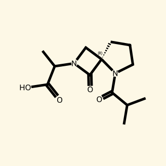 CC(C)C(=O)N1CCC[C@]12CN(C(C)C(=O)O)C2=O